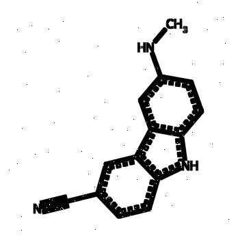 CNc1ccc2[nH]c3ccc(C#N)cc3c2c1